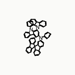 c1ccc(N(c2ccc3c(c2)C2(c4ccccc4-c4ccccc42)c2ccccc2-3)c2cc(-n3c4ccccc4c4ccccc43)c3c(c2)c2ccccc2n3-c2ccccc2)cc1